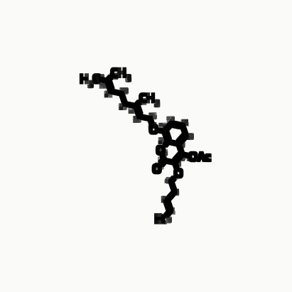 CC/C=C/CCOc1c(OC(C)=O)c2cccc(OC/C=C(\C)CCC=C(C)C)c2oc1=O